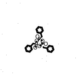 O=P1(Cc2ccccc2)OP(=O)(Cc2ccccc2)OP(=O)(Cc2ccccc2)O1